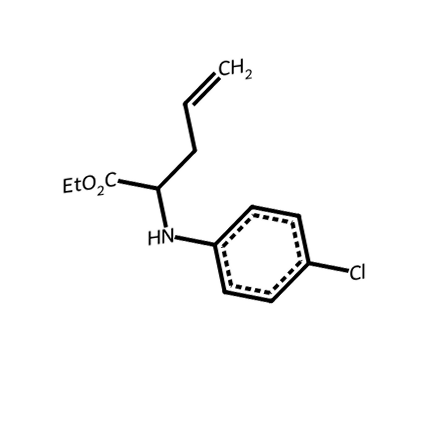 C=CCC(Nc1ccc(Cl)cc1)C(=O)OCC